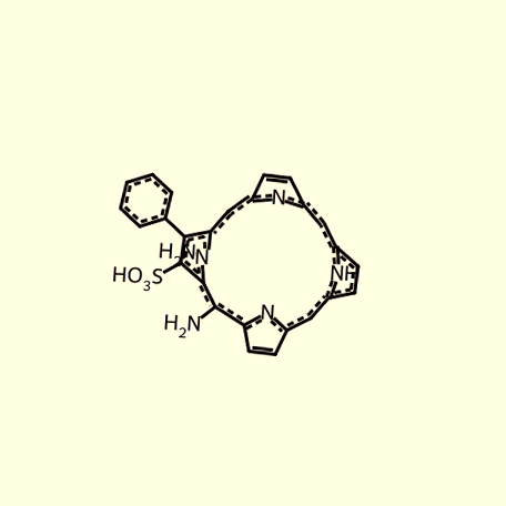 Nc1c2nc(cc3ccc(cc4nc(cc5c(-c6ccccc6)c(S(=O)(=O)O)c1n5N)C=C4)[nH]3)C=C2